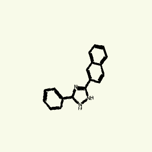 c1ccc(C2N=C(c3ccc4ccccc4c3)NN2)cc1